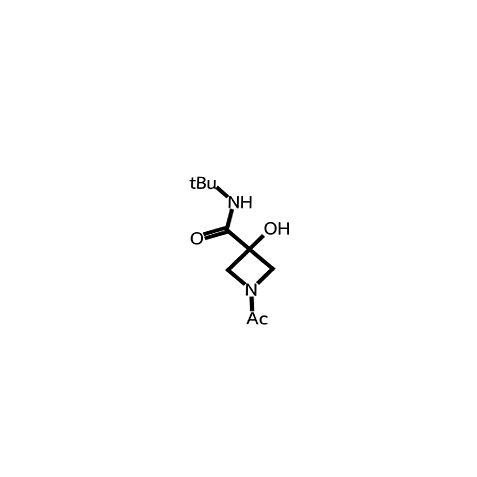 CC(=O)N1CC(O)(C(=O)NC(C)(C)C)C1